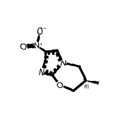 C[C@H]1COc2nc([N+](=O)[O-])cn2C1